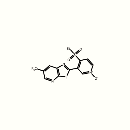 CCS(=O)(=O)c1cc[n+]([O-])cc1-c1nc2cc(C(F)(F)F)cnc2s1